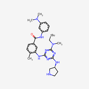 Cc1ccc(C(=O)Nc2cccc(N(C)C)c2)cc1Nc1nc(N[C@H]2CCNC2)nc(N(C)CC(C)(C)C)n1